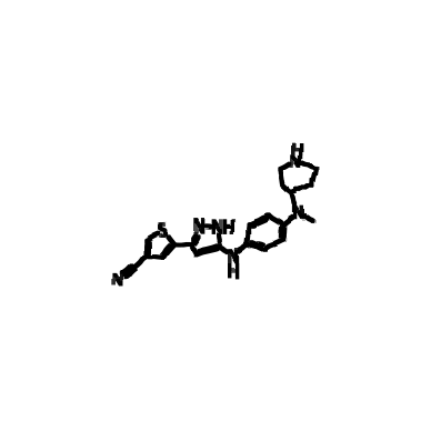 CN(c1ccc(Nc2cc(-c3cc(C#N)cs3)n[nH]2)cc1)C1CCNCC1